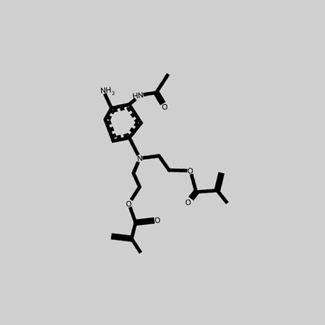 C=C(C)C(=O)OCCN(CCOC(=O)C(=C)C)c1ccc(N)c(NC(C)=O)c1